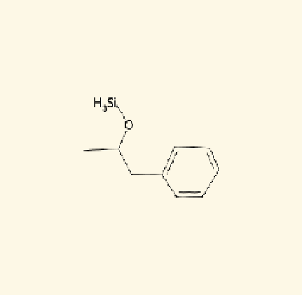 CC(Cc1ccccc1)O[SiH3]